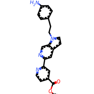 COC(=O)c1ccnc(-c2cc3ccn(CCc4ccc(N)cc4)c3cn2)c1